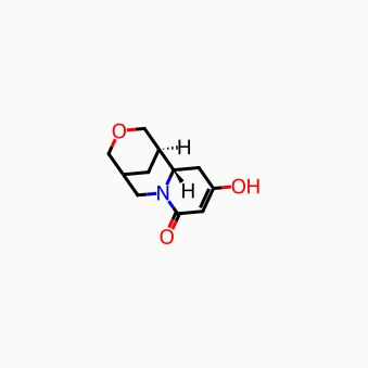 O=C1C=C(O)C[C@H]2[C@@H]3COCC(C3)CN12